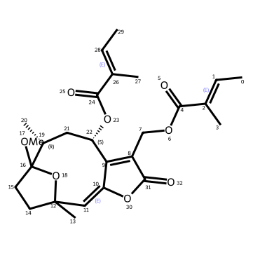 C/C=C(\C)C(=O)OCC1=C2/C(=C\C3(C)CCC(OC)(O3)[C@H](C)C[C@@H]2OC(=O)/C(C)=C/C)OC1=O